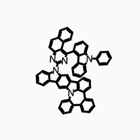 c1ccc(-n2c3ccccc3c3c(-c4nc(-n5c6ccccc6c6cc7c(cc65)c5cccc6c5n7-c5ccccc5-c5ccccc5-6)nc5ccc6ccccc6c45)cccc32)cc1